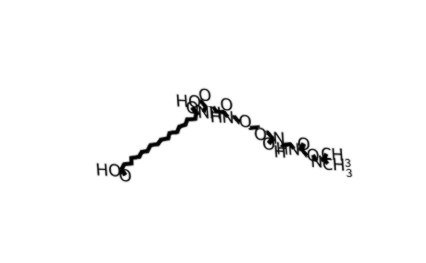 CC(C)=NOCC(=O)NCCNC(=O)COCCOCCNC(=O)CC[C@H](NC(=O)CCCCCCCCCCCCCCCCC(=O)O)C(=O)O